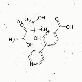 CC(O)C(=O)C(C)(O)C(=O)O.O=C(O)c1ccc(-c2ccncc2)cc1.[Zn]